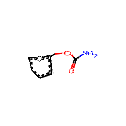 NC(=O)Oc1[c]cccc1